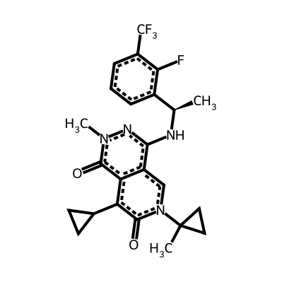 C[C@@H](Nc1nn(C)c(=O)c2c(C3CC3)c(=O)n(C3(C)CC3)cc12)c1cccc(C(F)(F)F)c1F